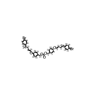 O=C(OCc1ccc(OC=CC[Se]c2ccc(Br)cc2)cc1)OCc1ccc(OC=CC[Se]c2ccc(Br)cc2)cc1